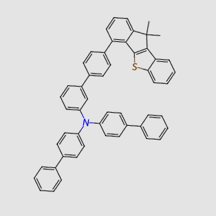 CC1(C)c2cccc(-c3ccc(-c4cccc(N(c5ccc(-c6ccccc6)cc5)c5ccc(-c6ccccc6)cc5)c4)cc3)c2-c2sc3ccccc3c21